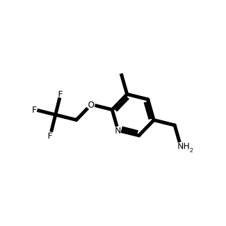 Cc1cc(CN)cnc1OCC(F)(F)F